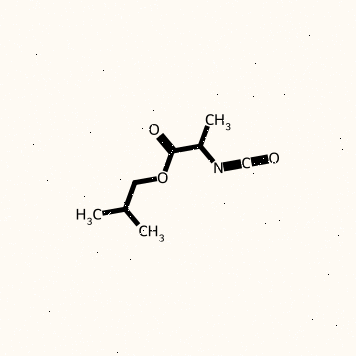 CC(C)COC(=O)C(C)N=C=O